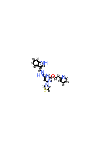 C(=NNc1cc(N2CCSC2)nc(OCCc2ccccn2)n1)c1c[nH]c2ccccc12